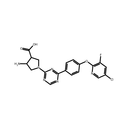 NC1CN(c2ncnc(-c3ccc(Oc4ncc(Cl)cc4F)cc3)n2)CC1C(=O)O